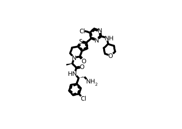 C[C@H](C(=O)N[C@H](CN)c1cccc(Cl)c1)N1CCc2sc(-c3nc(NC4CCOCC4)ncc3Cl)cc2C1=O